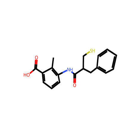 Cc1c(NC(=O)C(CS)Cc2ccccc2)cccc1C(=O)O